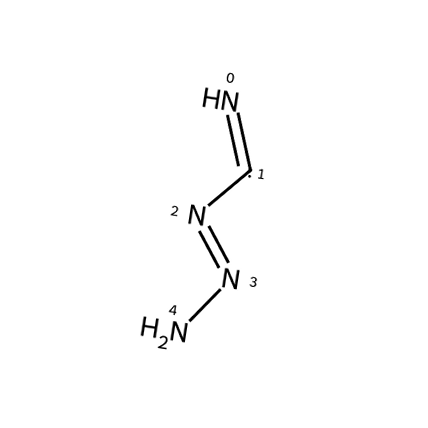 N=[C]N=NN